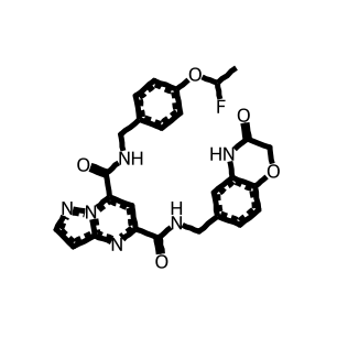 CC(F)Oc1ccc(CNC(=O)c2cc(C(=O)NCc3ccc4c(c3)NC(=O)CO4)nc3ccnn23)cc1